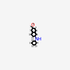 O=Cc1ccc2cc(Nc3ccccc3)ccc2c1